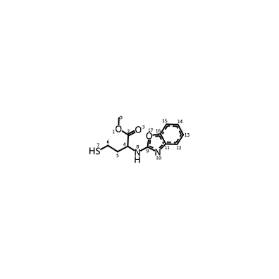 COC(=O)C(CCS)Nc1nc2ccccc2o1